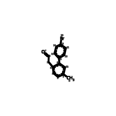 Cc1ccc(CC=O)c(-c2ccc(Br)cc2)c1